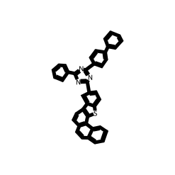 c1ccc(-c2ccc(-c3nc(-c4ccccc4)nc(-c4ccc5sc6c(ccc7ccc8ccccc8c76)c5c4)n3)cc2)cc1